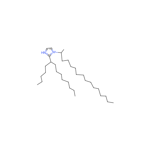 CCCCCCCCCCCCCCC(C)[n+]1cc[nH]c1C(CCCCC)CCCCCCCC